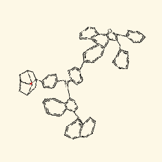 c1ccc(-c2oc3c4ccccc4c4cc(-c5ccc(N(c6ccc(C78CC9CC(CC(C9)C7)C8)cc6)c6ccc(-c7cccc8ccccc78)c7ccccc67)cc5)ccc4c3c2-c2ccccc2)cc1